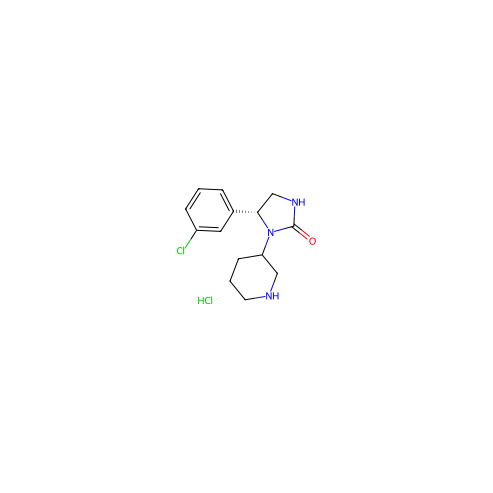 Cl.O=C1NC[C@@H](c2cccc(Cl)c2)N1C1CCCNC1